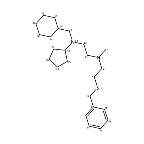 CN(CCSCc1ccccc1)CCN(CC1CCCCC1)C1CCCC1